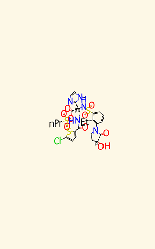 CCCS(=O)(=O)OC(=O)[C@](CNC(=O)c1ccc(Cl)s1)(NS(=O)(=O)c1cccc(N2CC[C@H](O)C2=O)c1CC)c1nccn1C